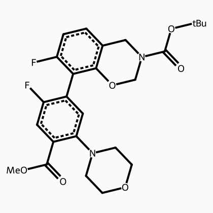 COC(=O)c1cc(F)c(-c2c(F)ccc3c2OCN(C(=O)OC(C)(C)C)C3)cc1N1CCOCC1